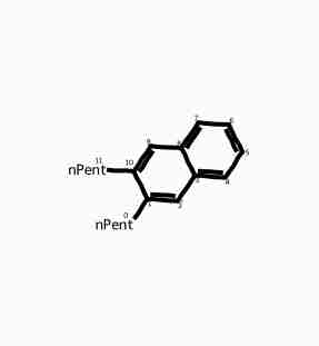 CCCCCc1[c]c2ccccc2cc1CCCCC